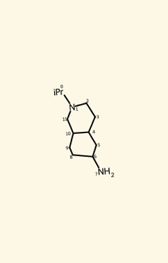 CC(C)N1CCC2CC(N)CCC2C1